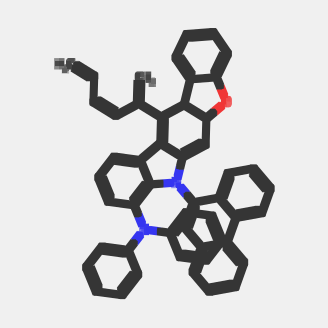 C=C/C=C\C(=C)C1=c2c(n(-c3cc4ccccc4c4ccccc34)c3c(N(c4ccccc4)c4ccccc4)cccc23)=CC2Oc3ccccc3C12